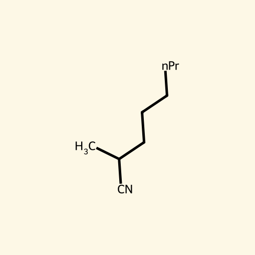 CCCCCCC(C)C#N